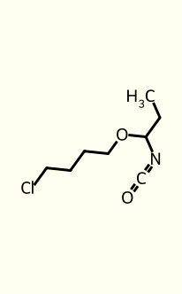 CCC(N=C=O)OCCCCCl